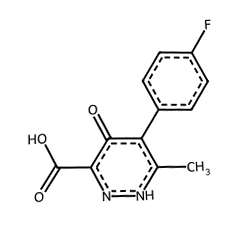 Cc1[nH]nc(C(=O)O)c(=O)c1-c1ccc(F)cc1